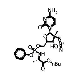 CCCCOC(=O)[C@H](C)NP(=O)(OC[C@H]1O[C@@H](n2ccc(N)nc2=O)[C@](C)(N=[N+]=[N-])[C@@H]1O)Oc1ccccc1